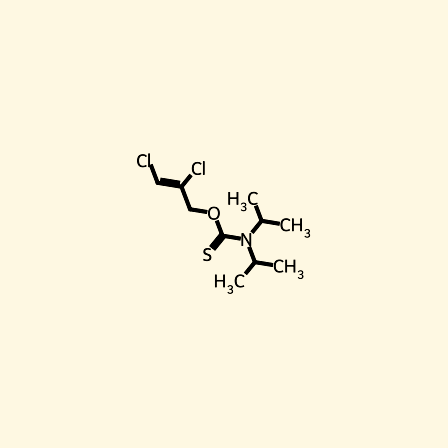 CC(C)N(C(=S)OC/C(Cl)=C/Cl)C(C)C